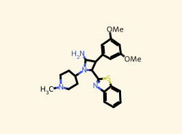 COc1cc(OC)cc(C2C(N)N(C3CCN(C)CC3)C2c2nc3ccccc3s2)c1